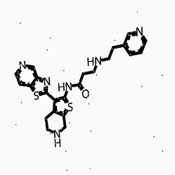 O=C(CCNCCc1cccnc1)Nc1sc2c(c1-c1nc3cnccc3s1)CCNC2